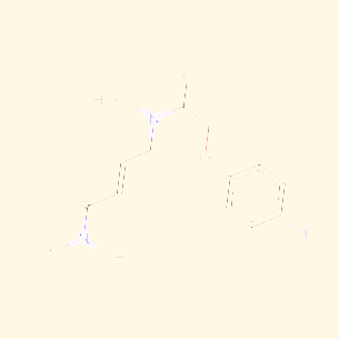 CC(COc1ccc(I)cc1)N(CC=CC(=O)N(C)C)C(=O)O